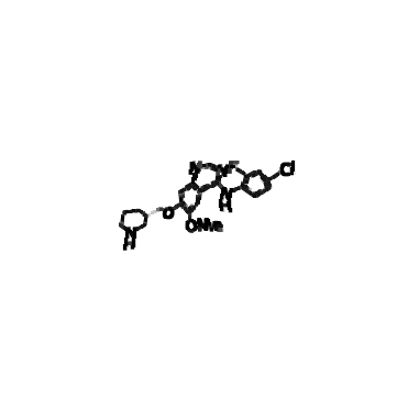 COc1cc2c(Nc3ccc(Cl)cc3F)ncnc2cc1OC[C@H]1CCCNC1